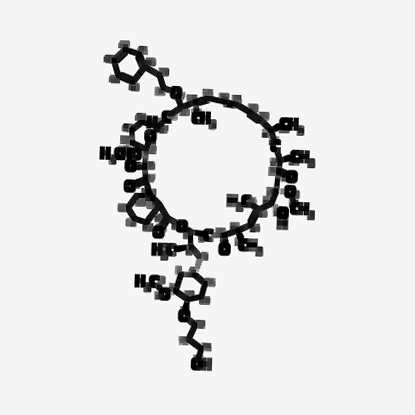 CO[C@@H]1C[C@H](C[C@@H](C)[C@@H]2CC(=O)[C@H](C)/C=C(\C)[C@@H](O)[C@@H](OC)C(=O)[C@H](C)C[C@H](C)/C=C/C=C/C=C(\C)C(OCCc3ccccc3)C[C@@H]3CC[C@@H](C)[C@@](O)(O3)C(=O)C(=O)N3CCCCC3C(=O)O2)CC[C@H]1OCCCO